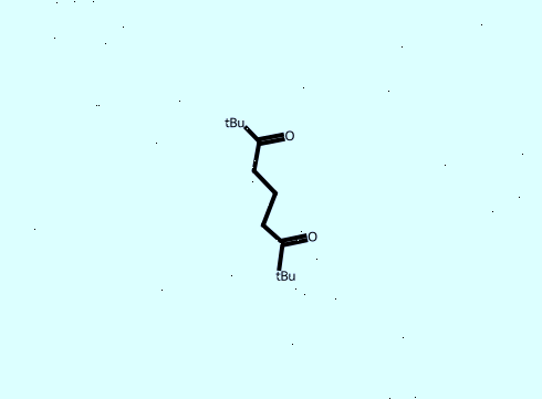 CC(C)(C)C(=O)CCCC(=O)C(C)(C)C